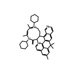 C=C1C2C(CC/[N+](C3CCCCC3)=C(C)\C=C(\C)N1C1CCCCC1)c1c3c(cc4ccncc14)C(C)(C)c1cc(C)cc4cc[n+]2c-3c14